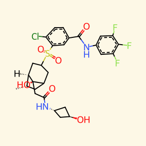 C[C@H]1CC2CC(S(=O)(=O)c3cc(C(=O)Nc4cc(F)c(F)c(F)c4)ccc3Cl)C[C@H]1[C@@]2(O)CC(=O)N[C@H]1C[C@H](O)C1